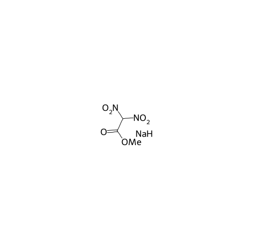 COC(=O)C([N+](=O)[O-])[N+](=O)[O-].[NaH]